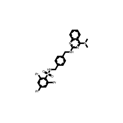 CC(C)c1cc(C(C)C)c(S(=O)(=O)NCc2ccc(CNc3nc(N(C)C)c4ccccc4n3)cc2)c(C(C)C)c1